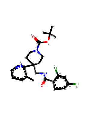 Cc1cccnc1C1(CNC(=O)c2ccc(Cl)cc2Cl)CCN(C(=O)OC(C)(C)C)CC1